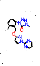 Cc1cccc(-n2nnn(C)c2=O)c1COc1ccn(-c2ncccn2)n1